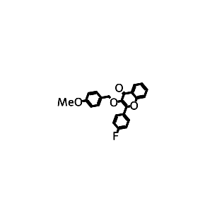 COc1ccc(COc2c(-c3ccc(F)cc3)oc3ccccc3c2=O)cc1